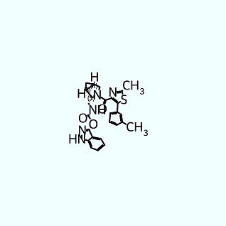 Cc1cccc(-c2sc(C)nc2C(=O)N2C[C@@H]3C[C@@H]3[C@H]2CNC(=O)Oc2n[nH]c3ccccc23)c1